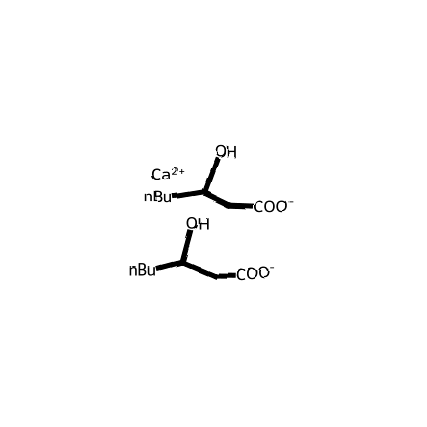 CCCCC(O)CC(=O)[O-].CCCCC(O)CC(=O)[O-].[Ca+2]